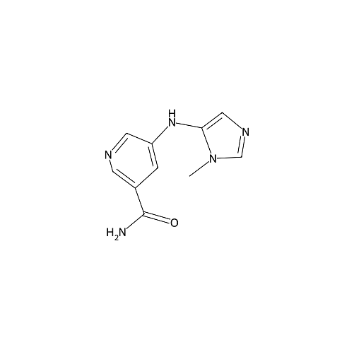 Cn1cncc1Nc1cncc(C(N)=O)c1